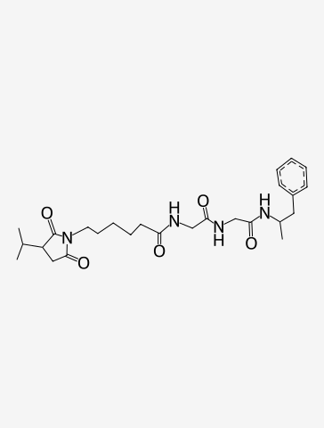 CC(Cc1ccccc1)NC(=O)CNC(=O)CNC(=O)CCCCCN1C(=O)CC(C(C)C)C1=O